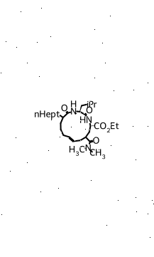 CCCCCCCC1CCC/C=C/CC(C(=O)N(C)C)C[C@@H](C(=O)OCC)NC(=O)[C@H](CC(C)C)NC1=O